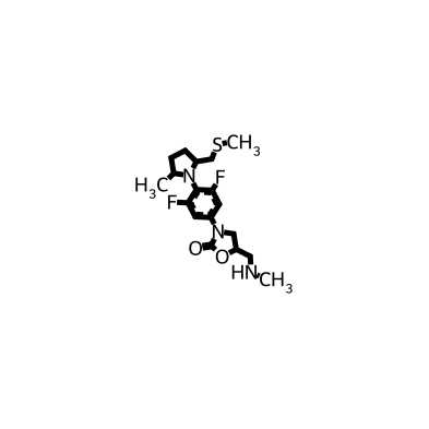 CNCC1CN(c2cc(F)c(N3C(C)CCC3CSC)c(F)c2)C(=O)O1